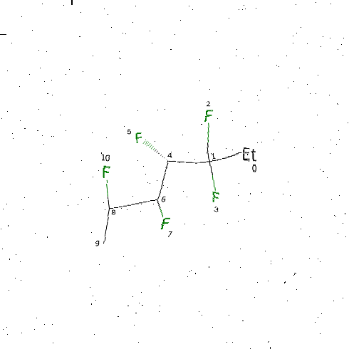 [CH2]CC(F)(F)[C@@H](F)C(F)C(C)F